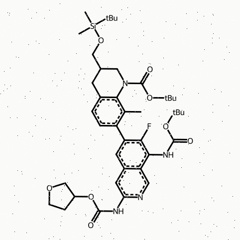 Cc1c(-c2cc3cc(NC(=O)OC4CCOC4)ncc3c(NC(=O)OC(C)(C)C)c2F)ccc2c1N(C(=O)OC(C)(C)C)CC(CO[Si](C)(C)C(C)(C)C)C2